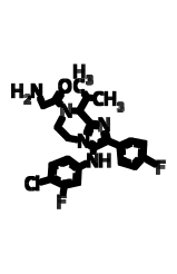 CC(C)C1c2nc(-c3ccc(F)cc3)c(Nc3ccc(Cl)c(F)c3)n2CCN1C(=O)CN